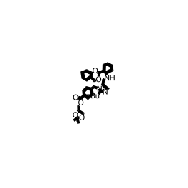 CCCCc1ncc(CNc2ccccc2C(=O)OCc2ccccc2)n1Cc1ccc(C(=O)OCC2COC(C)(C)O2)cc1